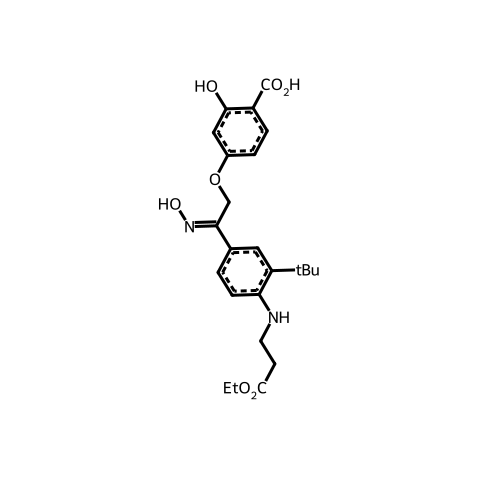 CCOC(=O)CCNc1ccc(C(COc2ccc(C(=O)O)c(O)c2)=NO)cc1C(C)(C)C